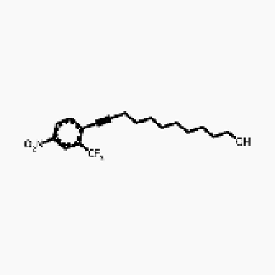 O=[N+]([O-])c1ccc(C#CCCCCCCCCCO)c(C(F)(F)F)c1